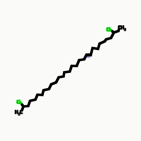 CCC(Cl)CCCCCC/C=C/CCCCCCCCCCCCCCCCCC(C)Cl